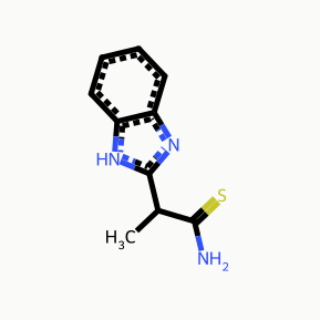 CC(C(N)=S)c1nc2ccccc2[nH]1